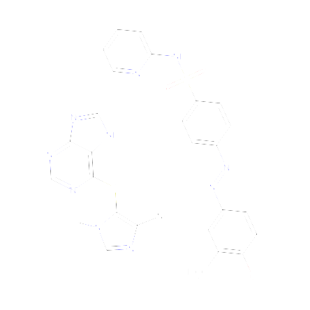 Cn1cnc([N+](=O)[O-])c1Sc1ncnc2nc[nH]c12.O=C(O)c1cc(/N=N/c2ccc(S(=O)(=O)Nc3ccccn3)cc2)ccc1O